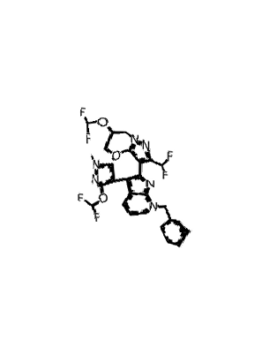 Cn1cc(-c2c3cccn(Cc4ccccc4)c-3nc2-c2c(C(F)F)nn3c2OCC(OC(F)F)C3)c(OC(F)F)n1